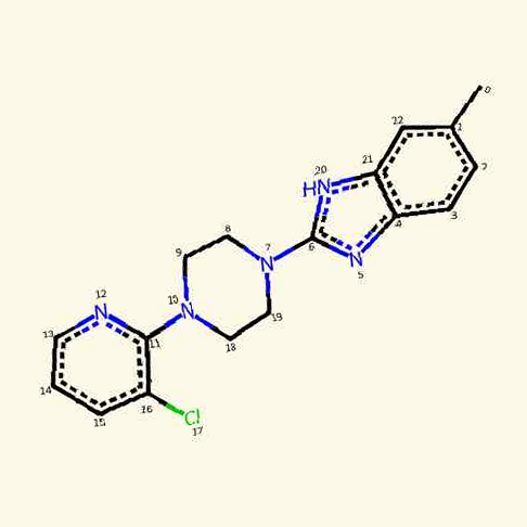 Cc1ccc2nc(N3CCN(c4ncccc4Cl)CC3)[nH]c2c1